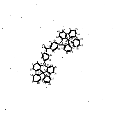 O=C(c1ccc(N2c3ccccc3C(c3ccccc3)(c3ccccc3)c3ccccc32)cc1)c1ccc(N2c3ccccc3C(c3ccccc3)(c3ccccc3)c3ccccc32)cc1